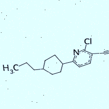 CCCC1CCC(c2ccc(C#N)c(Cl)n2)CC1